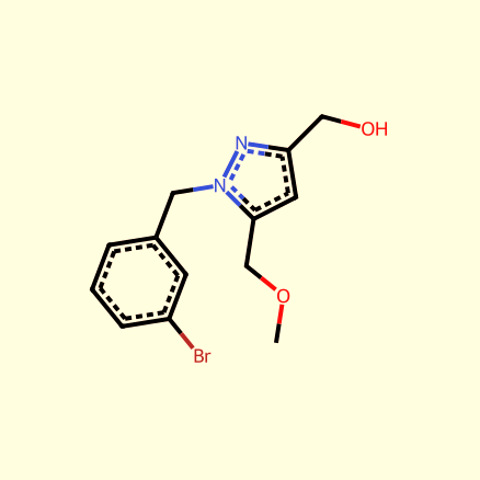 COCc1cc(CO)nn1Cc1cccc(Br)c1